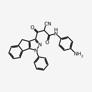 N#CC(C(=O)Nc1ccc(N)cc1)C(=O)c1nn(-c2ccccc2)c2c1Cc1ccccc1-2